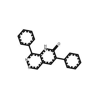 O=c1[nH]c2c(-c3ccccc3)nncc2cc1-c1ccccc1